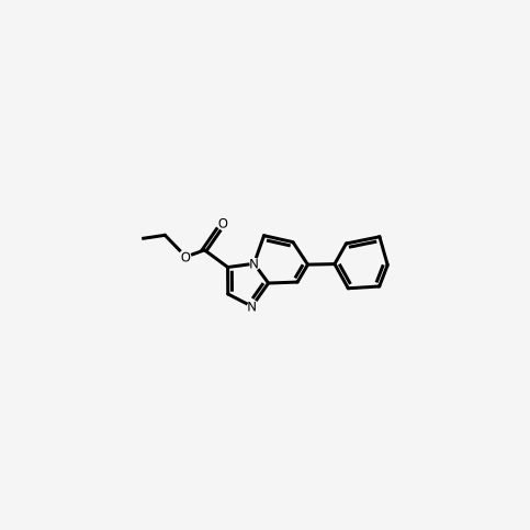 CCOC(=O)c1cnc2cc(-c3ccccc3)ccn12